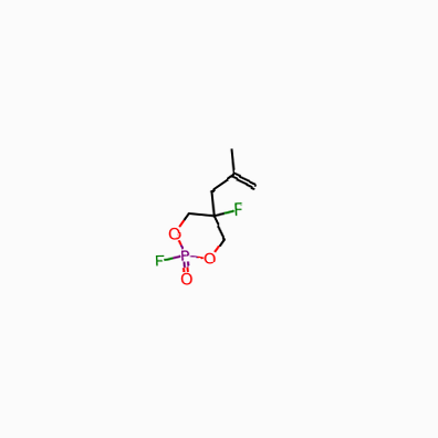 C=C(C)CC1(F)COP(=O)(F)OC1